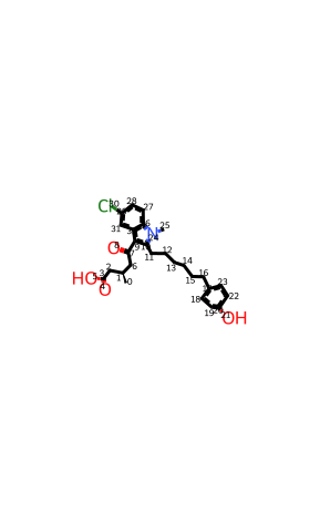 C[C@@H](CC(=O)O)CC(=O)c1c(CCCCCCc2ccc(O)cc2)n(C)c2ccc(Cl)cc12